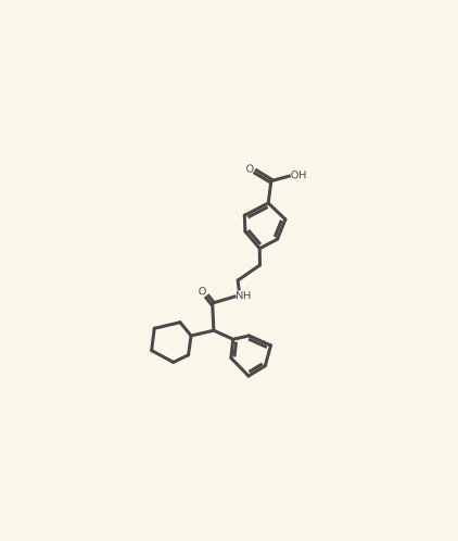 O=C(O)c1ccc(CCNC(=O)C(c2ccccc2)C2CCCCC2)cc1